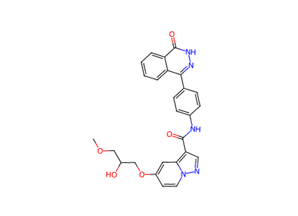 COCC(O)COc1ccn2ncc(C(=O)Nc3ccc(-c4n[nH]c(=O)c5ccccc45)cc3)c2c1